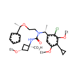 CCOc1cc([C@@H](C)N(CCO[C@@H](C)c2ccccc2)C(=O)N[C@]2(C(=O)O)C[C@@H](OCC)C2)c(Cl)c(OCC)c1C1CC1